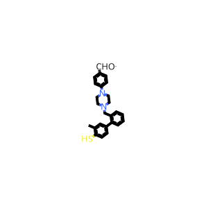 Cc1cc(-c2ccccc2CN2CCN(c3ccc([C]=O)cc3)CC2)ccc1S